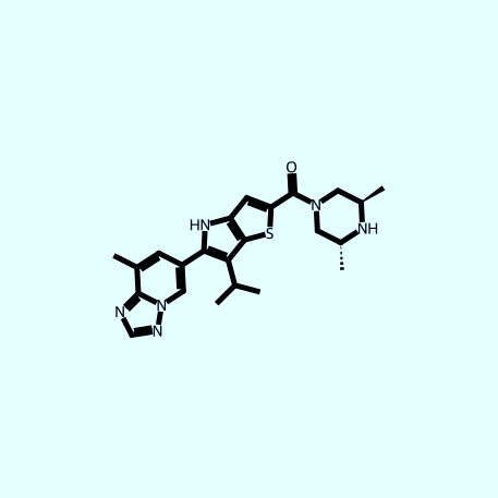 Cc1cc(-c2[nH]c3cc(C(=O)N4C[C@@H](C)N[C@H](C)C4)sc3c2C(C)C)cn2ncnc12